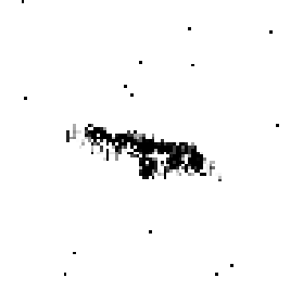 COc1cc(CN2CCN(C3CC4(C3)CN(c3ccc(C(=O)NS(=O)(=O)c5ccc(NCC6CCC(C)(O)CC6)c([N+](=O)[O-])c5)c(Oc5cnc6[nH]ccc6c5)c3)C4)[C@H](c3ccccc3C(C)C)C2)ccc1C(F)(F)F